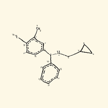 Cc1cc([C@H](NCC2CC2)c2ccccc2)ccc1F